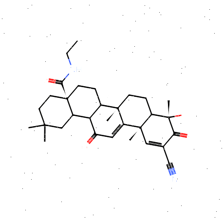 CCNC(=O)[C@]12CCC(C)(C)CC1C1C(=O)C=C3[C@@]4(C)C=C(C#N)C(=O)[C@@](C)(O)C4CC[C@@]3(C)[C@]1(C)CC2